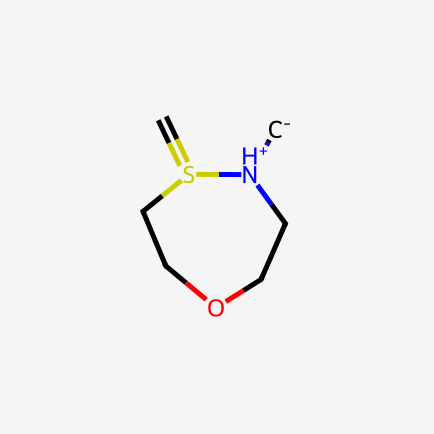 C=S1CCOCC[NH+]1[CH2-]